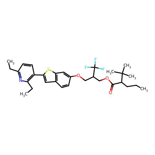 CCCC(C(=O)OCC(COc1ccc2cc(-c3ccc(CC)nc3CC)sc2c1)C(F)(F)F)C(C)(C)C